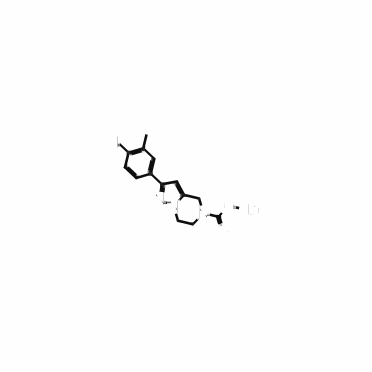 Cc1cc(-c2cc3n(n2)CCN(C(=O)OC(C)(C)C)C3)ccc1Cl